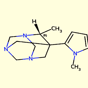 C[C@H]1N2CN3CN(C2)CC1(c1cccn1C)C3